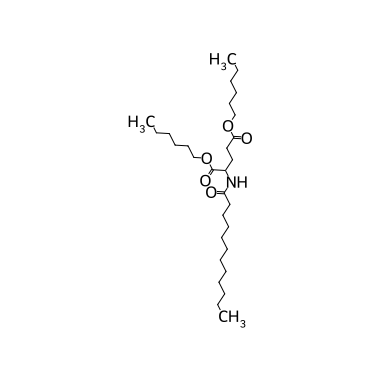 CCCCCCCCCCCC(=O)NC(CCC(=O)OCCCCCC)C(=O)OCCCCCC